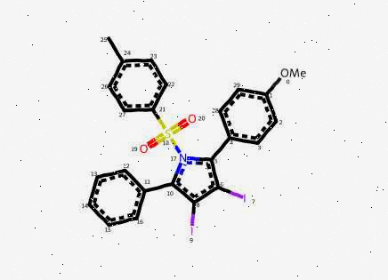 COc1ccc(-c2c(I)c(I)c(-c3ccccc3)n2S(=O)(=O)c2ccc(C)cc2)cc1